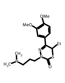 CCC1SC(=O)N(CCCN(C)C)N=C1c1ccc(OC)c(OC)c1